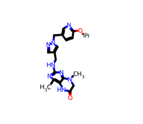 Cc1nc(NCc2cnn(Cc3ccc(OC(C)C)nc3)c2)nc2c1NC(=O)CN2C